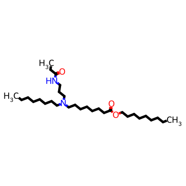 CCCCCCCCCOC(=O)CCCCCCCN(CCCCCCCC)CCCNC(=O)CC